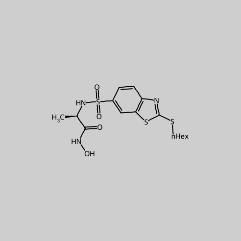 CCCCCCSc1nc2ccc(S(=O)(=O)N[C@H](C)C(=O)NO)cc2s1